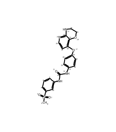 CS(=O)(=O)c1cccc(NC(=O)Nc2ccc(Oc3ccnc4c3OCCN4)cc2)c1